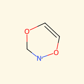 C1=CO[N]CO1